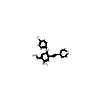 N=Cc1cc(Nc2ccc(F)cc2)c(C#CC2CCOCC2)cc1N